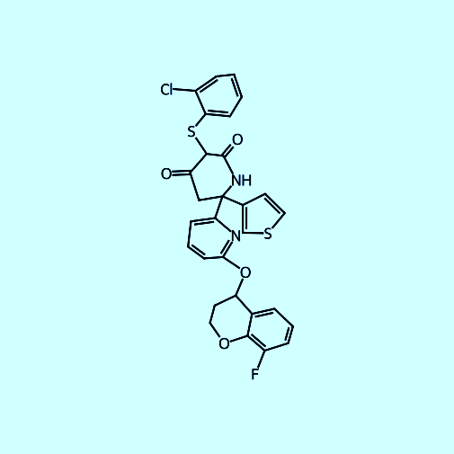 O=C1CC(c2ccsc2)(c2cccc(OC3CCOc4c(F)cccc43)n2)NC(=O)C1Sc1ccccc1Cl